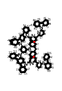 c1cc(-c2cccc(-n3c4ccccc4c4cc5c6ccccc6n(-c6cc(B7c8ccccc8Cc8ccccc87)cc(-n7c8ccccc8c8cc9c%10ccccc%10n(-c%10cccc(-c%11cccc(-n%12c%13ccccc%13c%13ccccc%13%12)n%11)n%10)c9cc87)c6)c5cc43)n2)nc(-n2c3ccccc3c3ccccc32)c1